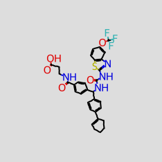 O=C(O)CCNC(=O)c1ccc(C(NC(=O)Nc2nc3cc(OC(F)(F)F)ccc3s2)c2ccc(C3=CCCCC3)cc2)cc1